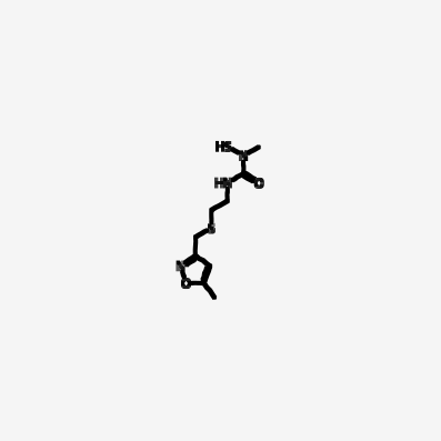 Cc1cc(CSCCNC(=O)N(C)S)no1